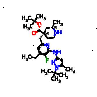 CCc1cc(C[C@@]2(C(=O)OC(C)(C)C)CCN[C@H](C)C2)nc(Nc2cc(C)n(C(C)(C)C)n2)c1F